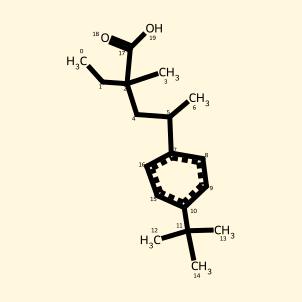 CCC(C)(CC(C)c1ccc(C(C)(C)C)cc1)C(=O)O